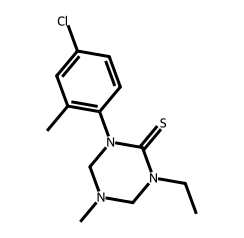 CCN1CN(C)CN(c2ccc(Cl)cc2C)C1=S